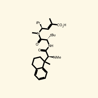 CN[C@H](C(=O)N[C@H](C(=O)N(C)[C@H](/C=C(\C)C(=O)O)C(C)C)C(C)(C)C)C1(C)CCCc2ccccc21